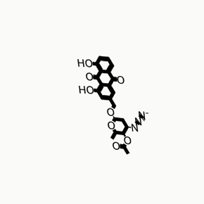 CC(=O)O[C@H]1C(C)O[C@H](OCc2cc(O)c3c(c2)C(=O)c2cccc(O)c2C3=O)C[C@@H]1N=[N+]=[N-]